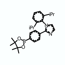 CC(C)c1cccc(C(C)C)c1-n1ccnc1-c1ccc(B2OC(C)(C)C(C)(C)O2)cc1